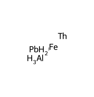 [AlH3].[Fe].[PbH2].[Th]